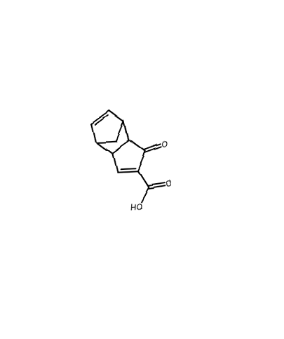 O=C(O)C1=CC2C3C=CC(C3)C2C1=O